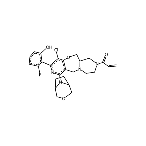 C=CC(=O)N1CCN2Cc3c(N4C5CCC4COC5)nc(-c4c(O)cccc4F)c(Cl)c3OCC2C1